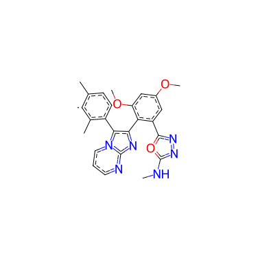 CNc1nnc(-c2cc(OC)cc(OC)c2-c2nc3ncccn3c2-c2ccc(C)[c]c2C)o1